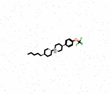 CCCCC[C@H]1CC[C@H]([Si@H]2CC[C@H](c3ccc(OC(F)(F)F)cc3)CC2)CC1